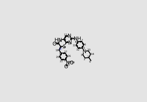 CC1CCN(c2ccc(Nc3ncc4c(n3)S/C(=C\c3ccc([N+](=O)[O-])cc3)C(=O)N4)cc2)CC1